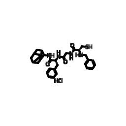 Cl.O=C(CNC(=O)[C@@H](CS)NCc1ccccc1)N[C@@H](Cc1ccccc1)C(=O)NC1C2CC3CC(C2)CC1C3